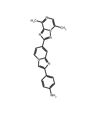 Cc1ncc(C)n2nc(-c3ccn4cc(-c5ccc(N)cc5)nc4c3)nc12